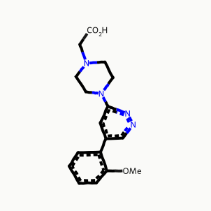 COc1ccccc1-c1cnnc(N2CCN(CC(=O)O)CC2)c1